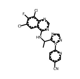 CC(Nc1ncnc2c(Cl)c(F)c(Cl)cc12)c1ncnn1-c1ccc(C#N)cn1